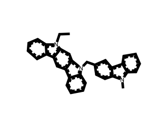 CCn1c2ccccc2c2cc3c4ccccc4n(Cc4ccc5c(c4)c4ccccc4n5C)c3cc21